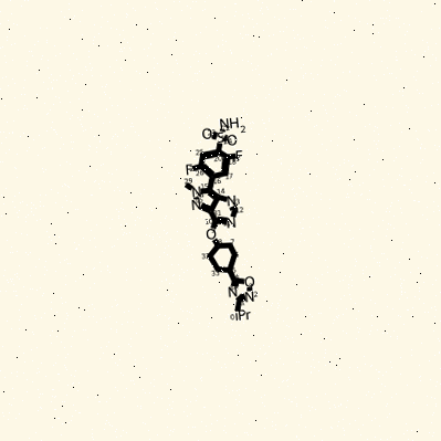 CC(C)c1noc(C2CCC(Oc3ncnc4c(-c5cc(F)c(S(N)(=O)=O)cc5F)n(C)nc34)CC2)n1